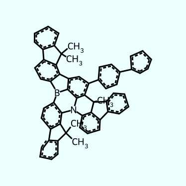 CC1(C)c2ccccc2-c2ccc3c(c21)-c1cc(-c2ccc(-c4ccccc4)cc2)c2c4c1B3c1ccc3c(c1N4c1cccc4c1C2(C)c1ccccc1-4)C(C)(C)c1ccccc1-3